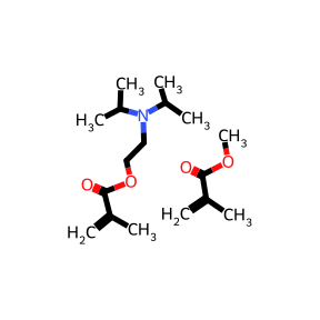 C=C(C)C(=O)OC.C=C(C)C(=O)OCCN(C(C)C)C(C)C